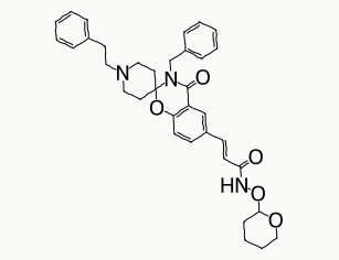 O=C(C=Cc1ccc2c(c1)C(=O)N(Cc1ccccc1)C1(CCN(CCc3ccccc3)CC1)O2)NOC1CCCCO1